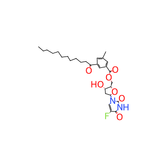 CCCCCCCCCCCC(=O)c1cc(C)cc(C(=O)OC[C@H]2O[C@@H](n3cc(F)c(=O)[nH]c3=O)C[C@@H]2O)c1